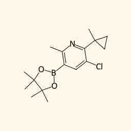 Cc1nc(C2(C)CC2)c(Cl)cc1B1OC(C)(C)C(C)(C)O1